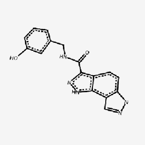 O=C(NCc1cccc(O)c1)c1n[nH]c2c3c(ccc12)[N]N=C3